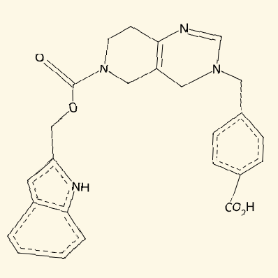 O=C(O)c1ccc(CN2C=NC3=C(C2)CN(C(=O)OCc2cc4ccccc4[nH]2)CC3)cc1